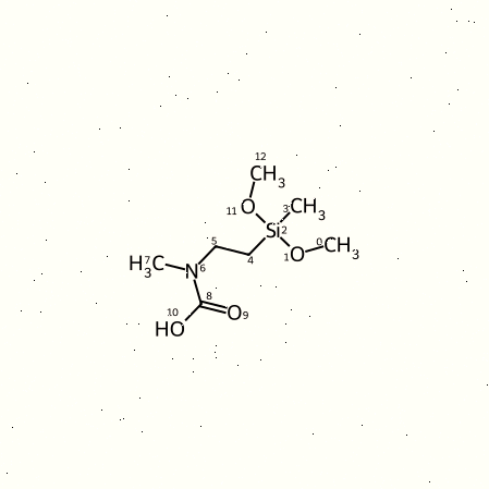 CO[Si](C)(CCN(C)C(=O)O)OC